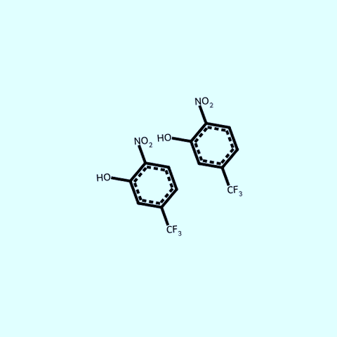 O=[N+]([O-])c1ccc(C(F)(F)F)cc1O.O=[N+]([O-])c1ccc(C(F)(F)F)cc1O